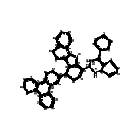 C1=CC2=C(c3ccccc3)NC(c3ccc(-c4ccc5c6ccccc6c6ccccc6c5c4)c4c3oc3c5ccccc5ccc34)NC2C=C1